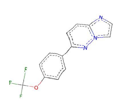 FC(F)(F)Oc1ccc(-c2ccc3nccn3n2)cc1